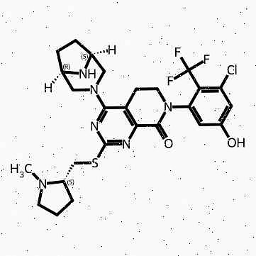 CN1CCC[C@H]1CSc1nc2c(c(N3C[C@H]4CC[C@@H](C3)N4)n1)CCN(c1cc(O)cc(Cl)c1C(F)(F)F)C2=O